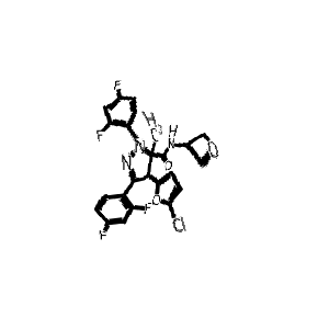 CC1(C(=O)NC2COC2)C(c2ccc(Cl)o2)C(c2ccc(F)cc2F)=NN1c1ccc(F)cc1F